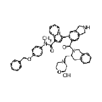 CN(C(=O)c1cc(-c2cc3c(cc2C(=O)N2Cc4ccccc4C[C@H]2CN2CCOCC2)CNC3)n2ccccc12)c1ccc(OCc2ccccc2)cc1.Cl